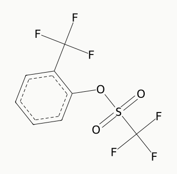 O=S(=O)(Oc1ccccc1C(F)(F)F)C(F)(F)F